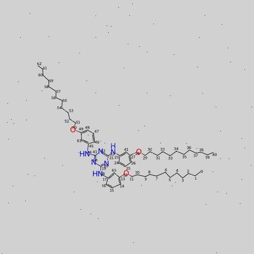 CCCCCCCCCCCCOc1cccc(Nc2nc(Nc3cccc(OCCCCCCCCCCCC)c3)nc(Nc3cccc(OCCCCCCCCCCCC)c3)n2)c1